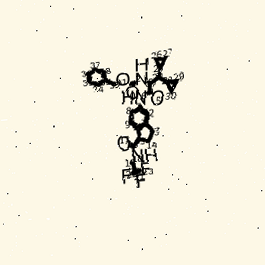 O=C(N[C@H](C(=O)Nc1ccc2c(c1)CCC2C(=O)NCC(F)(F)F)C(C1CC1)C1CC1)OCc1ccccc1